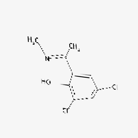 CN=C(C)c1cc(Cl)cc(Cl)c1O